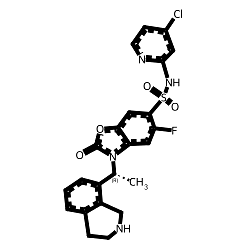 C[C@H](c1cccc2c1CNCC2)n1c(=O)oc2cc(S(=O)(=O)Nc3cc(Cl)ccn3)c(F)cc21